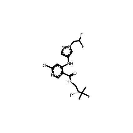 CC(C)(F)[C@H](F)CNC(=O)c1cnc(Cl)cc1Nc1cnn(CC(F)F)c1